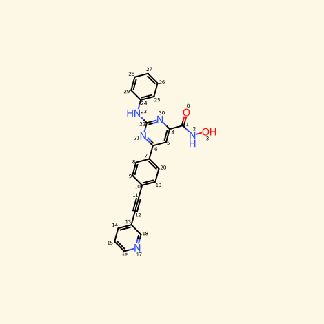 O=C(NO)c1cc(-c2ccc(C#Cc3cccnc3)cc2)nc(Nc2ccccc2)n1